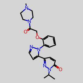 CC(C)n1nc(-c2ccnn2-c2ccccc2OCC(=O)N2CCN(C)CC2)ccc1=O